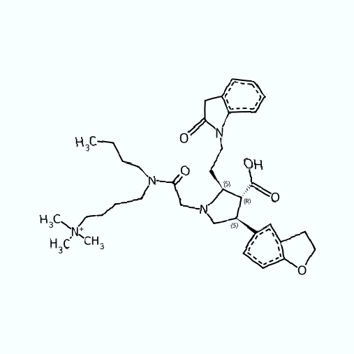 CCCCN(CCCC[N+](C)(C)C)C(=O)CN1C[C@H](c2ccc3c(c2)CCO3)[C@@H](C(=O)O)[C@@H]1CCN1C(=O)Cc2ccccc21